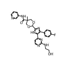 CC1(C(=O)Nc2cccnc2)COC(c2nc(-c3ccc(F)cc3)c(-c3ccnc(NCCO)n3)[nH]2)OC1